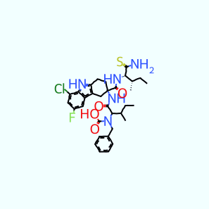 CCC(C)C(C(=O)N[C@]1(C(=O)N[C@H](C(N)=S)[C@@H](C)CC)CCc2[nH]c3c(Cl)cc(F)cc3c2C1)N(Cc1ccccc1)C(=O)O